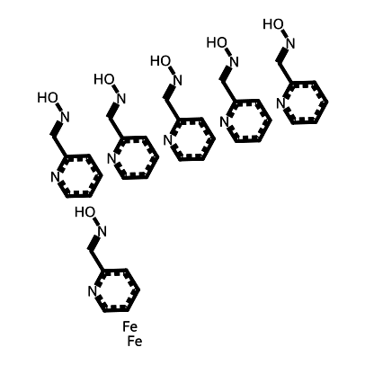 ON=Cc1ccccn1.ON=Cc1ccccn1.ON=Cc1ccccn1.ON=Cc1ccccn1.ON=Cc1ccccn1.ON=Cc1ccccn1.[Fe].[Fe]